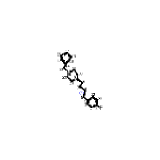 Fc1ccc(/C=C/CCN2CCN(Cc3ccccc3)CC2)cc1